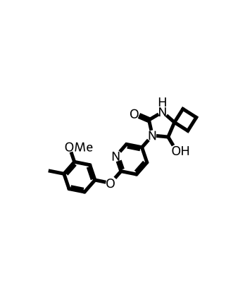 COc1cc(Oc2ccc(N3C(=O)NC4(CCC4)C3O)cn2)ccc1C